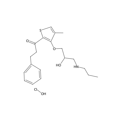 CCCNCC(O)COc1c(C)csc1C(=O)CCc1ccccc1.OCl